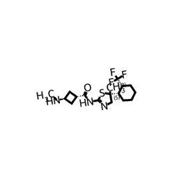 CN[C@H]1C[C@H](C(=O)NC2=NCC(C)([C@H]3CCCC[C@H]3C(F)(F)F)S2)C1